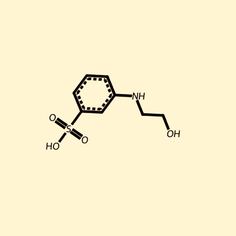 O=S(=O)(O)c1cccc(NCCO)c1